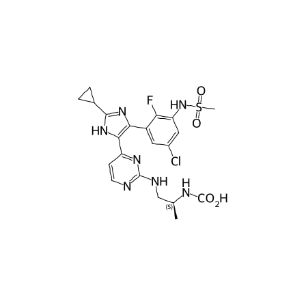 C[C@@H](CNc1nccc(-c2[nH]c(C3CC3)nc2-c2cc(Cl)cc(NS(C)(=O)=O)c2F)n1)NC(=O)O